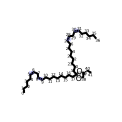 CCCCC/C=C\C/C=C\CCCCCCCCC1(CCCCCCCC/C=C\C/C=C\CCCCC)OC[C@H](CC)O1